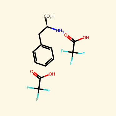 N[C@@H](Cc1ccccc1)C(=O)O.O=C(O)C(F)(F)F.O=C(O)C(F)(F)F